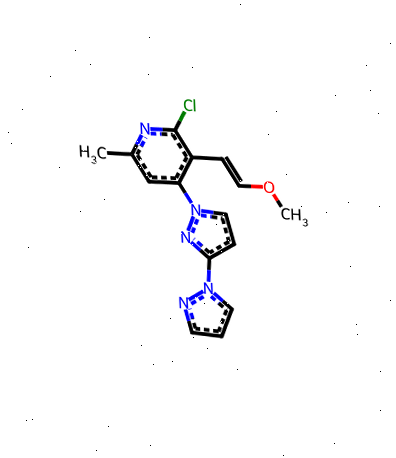 COC=Cc1c(-n2ccc(-n3cccn3)n2)cc(C)nc1Cl